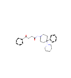 O=C(CCC(=O)c1ccccc1)NC1CCC(c2ccccc2)(N2CCCCC2)CC1